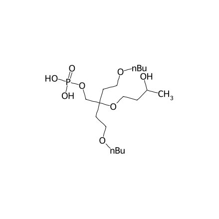 CCCCOCCC(CCOCCCC)(COP(=O)(O)O)OCCC(C)O